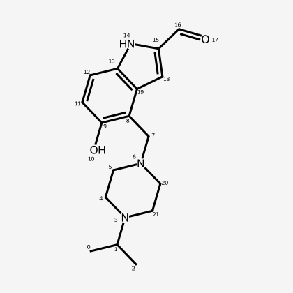 CC(C)N1CCN(Cc2c(O)ccc3[nH]c(C=O)cc23)CC1